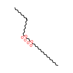 CCCCCCCC/C=C\CCCCCCCC(=O)OC(=O)CC(=O)OC(=O)CCCCCCCCCCCCCCCCC